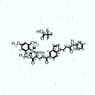 Cc1cc(C)c(S(=O)(=O)N[C@@H](CNC(=O)c2ccc3c(cnn3CCC(=O)Nc3ncc[nH]3)c2)C(=O)O)c(C)c1.O=C(O)C(F)(F)F